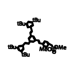 COP(=O)(Cc1ccc(C=Cc2cc(C=Cc3cc(C(C)(C)C)cc(C(C)(C)C)c3)cc(C=Cc3cc(C(C)(C)C)cc(C(C)(C)C)c3)c2)cc1)OC